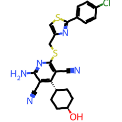 N#Cc1c(N)nc(SCc2csc(-c3ccc(Cl)cc3)n2)c(C#N)c1[C@H]1CC[C@H](O)CC1